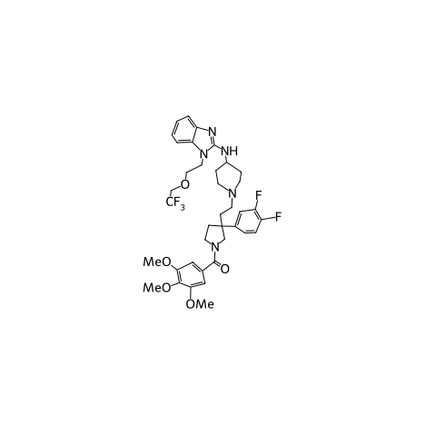 COc1cc(C(=O)N2CCC(CCN3CCC(Nc4nc5ccccc5n4CCOCC(F)(F)F)CC3)(c3ccc(F)c(F)c3)C2)cc(OC)c1OC